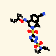 CC(C)O/N=C(\CN(C1CC1)S(=O)(=O)c1ncn(S(=O)(=O)N(C)C)n1)c1ccc(C#N)cc1